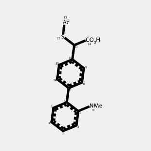 CNc1ccccc1-c1ccc(C(SC(C)=O)C(=O)O)cc1